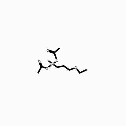 CCOCCC[Si](C)(OC(C)=O)OC(C)=O